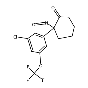 O=NC1(c2cc(Cl)cc(OC(F)(F)F)c2)CCCCC1=O